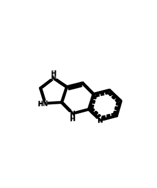 C1=C2NCNC2Nc2ncccc21